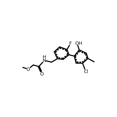 COCC(=O)NCc1ccc(F)c(-c2cc(Cl)c(C)cc2O)c1